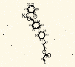 C=CC(=O)OCCC[C@H]1CC[C@H](c2ccc(C(=O)Oc3ccccc3C#N)cc2)CC1